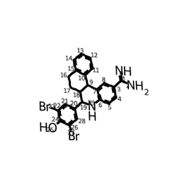 N=C(N)c1ccc2c(c1)C1c3ccccc3CCC1C(c1cc(Br)c(O)c(Br)c1)N2